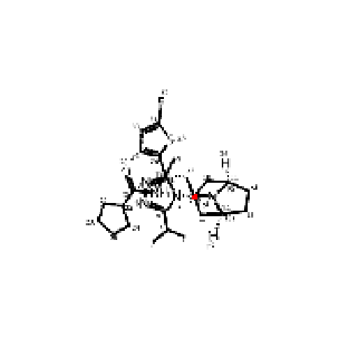 Cc1nnc(C(C)C)n1[C@@H]1C[C@H]2CC[C@@H](C1)N2CC[C@H](NC(=O)C1CCCC1)c1ccc(F)s1